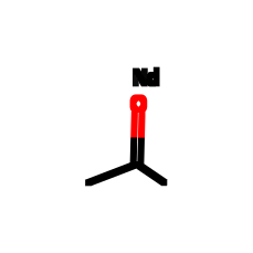 CC(C)=O.[Nd]